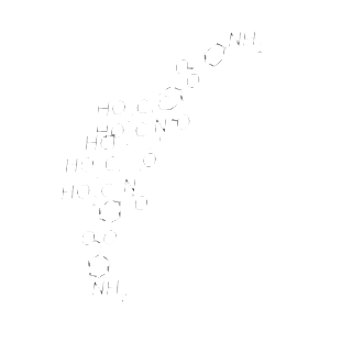 Cl.Nc1ccc(C(=O)Oc2cccc(C(=O)N(CCOCCN(C(=O)c3cccc(OC(=O)c4ccc(N)cc4)c3)C(CC(=O)O)C(=O)O)C(CC(=O)O)C(=O)O)c2)cc1